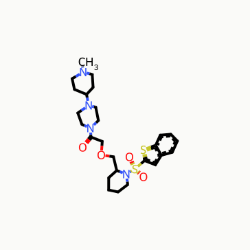 CN1CCC(N2CCN(C(=O)COCC3CCCCN3S(=O)(=O)c3cc4ccccc4s3)CC2)CC1